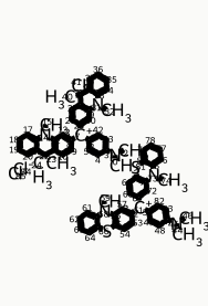 CN(C)c1ccc([C+](c2ccc3c(c2)N(C)c2ccccc2C3(C)C)c2ccc3c(c2)N(C)c2ccccc2C3(C)C)cc1.CN(C)c1ccc([C+](c2ccc3c(c2)N(C)c2ccccc2S3)c2ccc3c(c2)N(C)c2ccccc2S3)cc1.[Cl-].[Cl-]